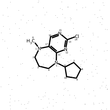 CN1CCCN(C2CCCC2)c2nc(Cl)ncc21